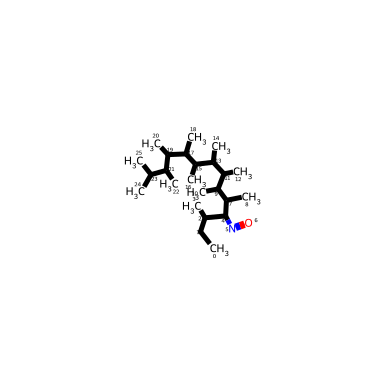 CCC(C)C(N=O)C(C)C(C)C(C)C(C)C(C)C(C)C(C)C(C)C(C)C